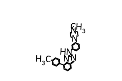 Cc1ccc(-c2cccc3cnc(Nc4cccc(N5CCN(C)CC5)c4)nc23)cc1